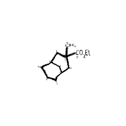 CCOC(=O)C1(C)CC2CCCC(C2)C1